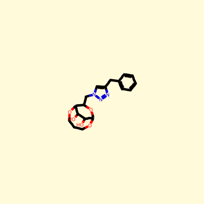 OC1C2OCCCOC(C(Cn3cc(Cc4ccccc4)nn3)O2)C1O